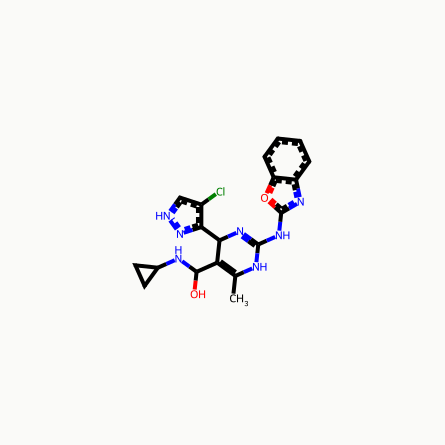 CC1=C(C(O)NC2CC2)C(c2n[nH]cc2Cl)N=C(Nc2nc3ccccc3o2)N1